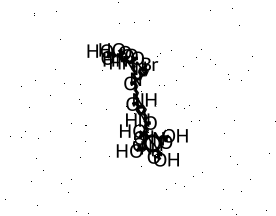 O=C(O)CC[C@@H](NC(=O)N[C@H](CCCCN(Cc1ccc(Br)nc1)C(=O)CCCCNC(=O)c1ccc(CNC(=O)CCC(C(=O)O)N2CCN(CC(=O)O)CCN(CC(=O)O)CCN(CC(=O)O)CC2)cc1)C(=O)O)C(=O)O